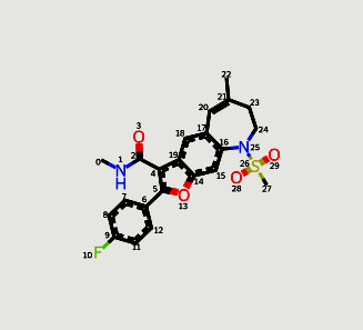 CNC(=O)c1c(-c2ccc(F)cc2)oc2cc3c(cc12)C=C(C)CCN3S(C)(=O)=O